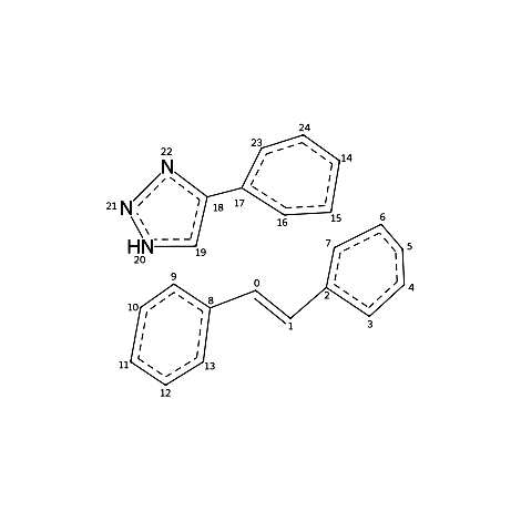 C(=Cc1ccccc1)c1ccccc1.c1ccc(-c2c[nH]nn2)cc1